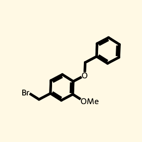 COc1cc(CBr)ccc1OCc1ccccc1